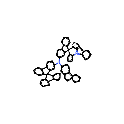 c1ccc2c(c1)-c1ccccc1C21c2ccccc2-c2ccc(N(c3ccc4c(c3)C3(c5ccccc5-4)c4ccccc4-n4c5ccccc5c5cccc3c54)c3ccc4c(ccc5ccccc54)c3)cc21